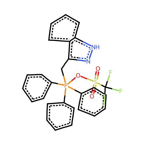 O=S(=O)(OP(Cc1n[nH]c2ccccc12)(c1ccccc1)(c1ccccc1)c1ccccc1)C(F)(F)F